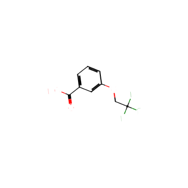 O=C(O)c1c[c]cc(OCC(F)(F)F)c1